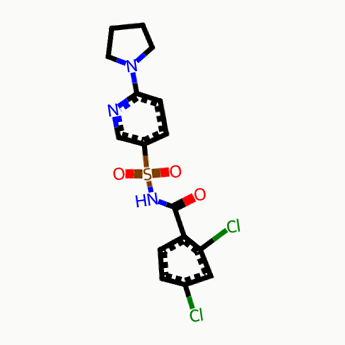 O=C(NS(=O)(=O)c1ccc(N2CCCC2)nc1)c1ccc(Cl)cc1Cl